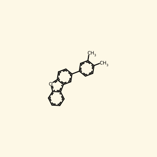 Cc1ccc(-c2ccc3oc4ccccc4c3c2)cc1C